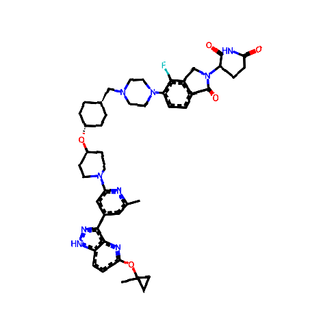 Cc1cc(-c2n[nH]c3ccc(OC4(C)CC4)nc23)cc(N2CCC(O[C@H]3CC[C@H](CN4CCN(c5ccc6c(c5F)CN(C5CCC(=O)NC5=O)C6=O)CC4)CC3)CC2)n1